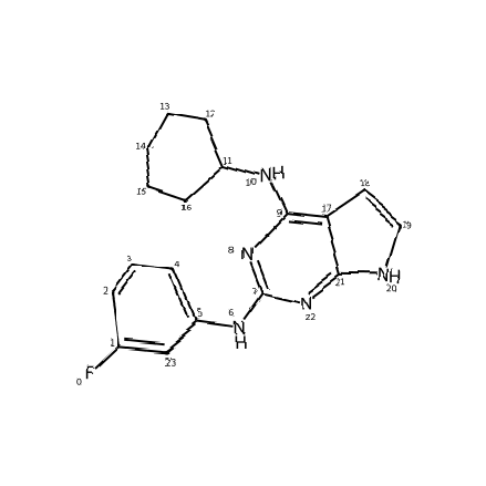 Fc1cccc(Nc2nc(NC3CC[CH]CC3)c3cc[nH]c3n2)c1